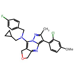 COc1ccc(-c2c(C)nn3c(N(Cc4ccc(F)cc4)CC4CC4)c4c(nc23)COC4)c(Cl)c1